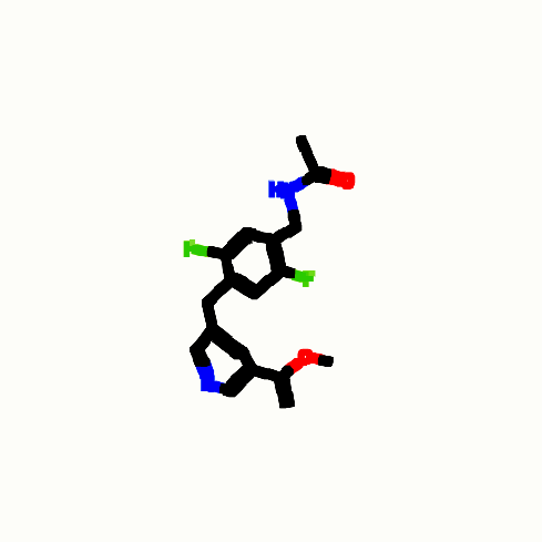 C=C(OC)c1cncc(Cc2cc(F)c(CNC(C)=O)cc2F)c1